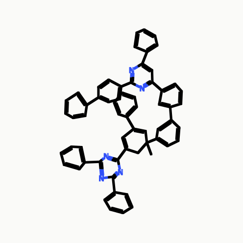 CC1(c2cccc(-c3cccc(-c4cc(-c5ccccc5)nc(-c5ccc(-c6ccccc6)cc5)n4)c3)c2)C=C(c2ccccc2)C=C(c2nc(-c3ccccc3)nc(-c3ccccc3)n2)C1